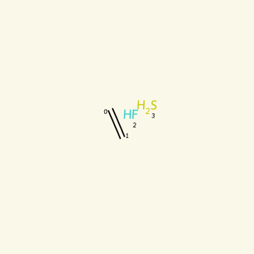 C=C.F.S